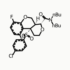 CCCCN(CCCC)C(=O)[C@@H]1OCC[C@@]2(S(=O)(=O)c3ccc(Cl)cc3)c3c(F)ccc(F)c3OC[C@@H]12